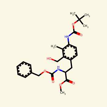 COC(=O)C(Cc1ccc(NC(=O)OC(C)(C)C)c(C)c1CO)NC(=O)OCc1ccccc1